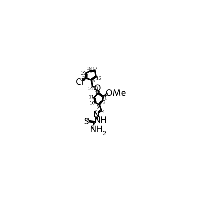 COc1cc(C=NNC(N)=S)ccc1OCc1ccccc1Cl